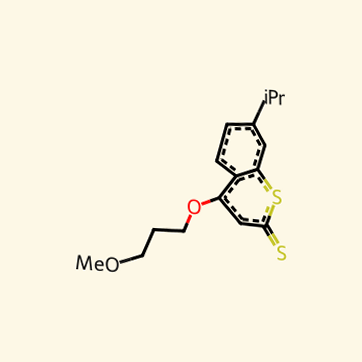 COCCCOc1cc(=S)sc2cc(C(C)C)ccc12